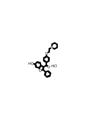 Cl.O=C(c1ccc(OCCN2CCCCC2)cc1)c1c(-c2ccccc2)oc2cc(O)ccc12